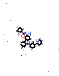 c1ccc(C2Nc3ccc4c(c3O2)c2ccccc2n4-c2cccc(-c3ccccn3)c2)cc1